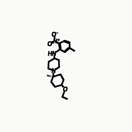 CCO[C@H]1CC[C@@](C)(N2CCC(Nc3cc(C)ccc3[N+](=O)[O-])CC2)CC1